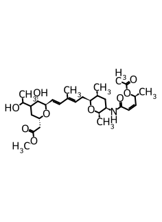 COC(=O)C[C@@H]1CC(C(C)O)[C@H](O)[C@@H](/C=C/C(C)=C/C[C@@H]2O[C@H](C)[C@H](NC(=O)/C=C\[C@H](C)OC(C)=O)C[C@@H]2C)O1